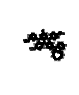 Cc1cc2c3c(c1)N(c1cccc(C(C)(C)C)c1)c1cc(C(C)(C)C)ccc1B3c1ccc(N3c4ccccc4C4(C)CCCCCCC34C)cc1N2c1ccc(C(C)(C)C)cc1